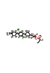 C=C(C)C(=O)O/C(C)=C(\C)Oc1ccc(-c2cc(F)c(-c3ccc(CC)cc3)cc2F)cc1